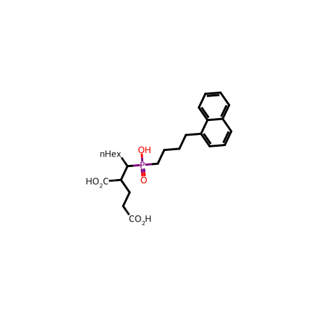 CCCCCCC(C(CCC(=O)O)C(=O)O)P(=O)(O)CCCCc1cccc2ccccc12